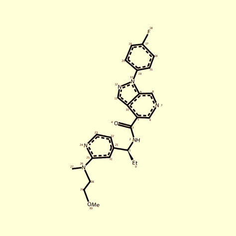 CC[C@H](NC(=O)c1cncc2c1cnn2-c1ccc(F)cc1)c1ccnc(N(C)CCOC)c1